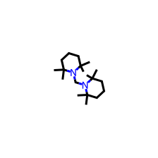 CC1(C)CCCC(C)(C)N1CN1C(C)(C)CCCC1(C)C